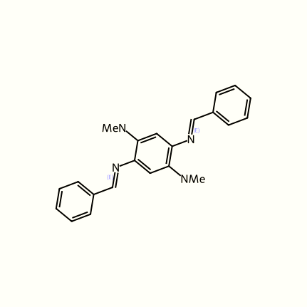 CNc1cc(/N=C/c2ccccc2)c(NC)cc1/N=C/c1ccccc1